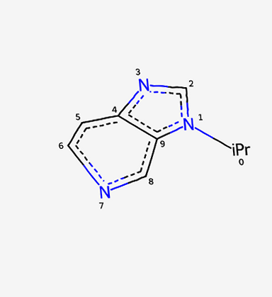 CC(C)n1cnc2ccncc21